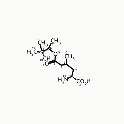 CC(CC(=O)OC(C)[Si](C)(C)C)C[C@H](N)C(=O)O